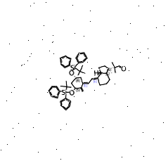 C=C1/C(=C/C=C2\CCC[C@]3(C)[C@@H](C(C)(C)C=O)CC[C@@H]23)C[C@@H](O[Si](c2ccccc2)(c2ccccc2)C(C)(C)C)C[C@@H]1O[Si](c1ccccc1)(c1ccccc1)C(C)(C)C